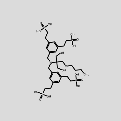 CCCCOCC(CO)(CO)N(Cc1cc(CCP(=O)(O)O)cc(CCP(=O)(O)O)c1)Cc1cc(CCP(=O)(O)O)cc(CCP(=O)(O)O)c1